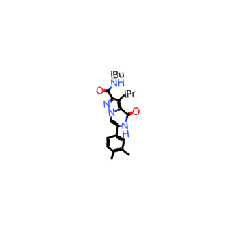 CCC(C)NC(=O)c1nn2cc(-c3ccc(C)c(C)c3)[nH]c(=O)c2c1C(C)C